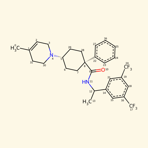 CC1=CCN([C@H]2CC[C@@](C(=O)NC(C)c3cc(C(F)(F)F)cc(C(F)(F)F)c3)(c3ccccc3)CC2)CC1